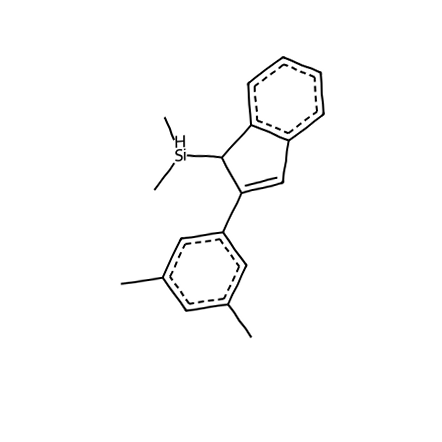 Cc1cc(C)cc(C2=Cc3ccccc3C2[SiH](C)C)c1